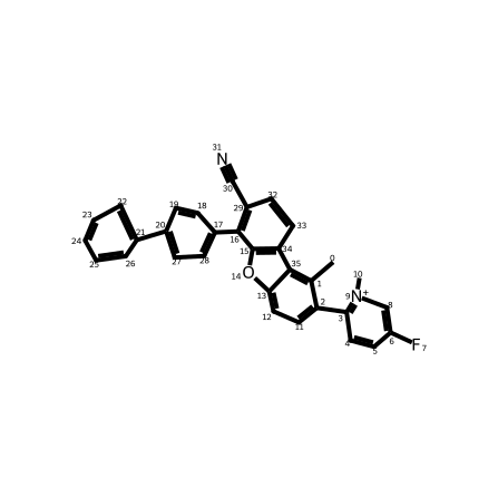 Cc1c(-c2ccc(F)c[n+]2C)ccc2oc3c(-c4ccc(-c5ccccc5)cc4)c(C#N)ccc3c12